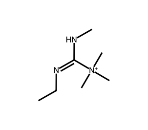 CC/N=C(/NC)[N+](C)(C)C